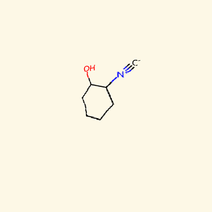 [C-]#[N+]C1CCCCC1O